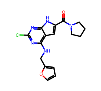 O=C(c1cc2c(NCc3ccco3)nc(Cl)nc2[nH]1)N1CCCC1